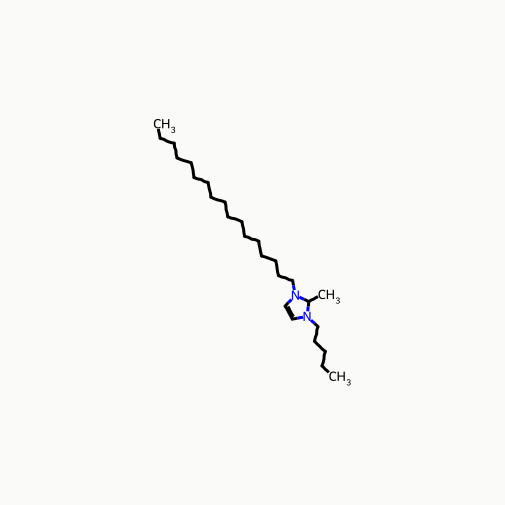 CCCCCCCCCCCCCCCCCN1C=CN(CCCCC)C1C